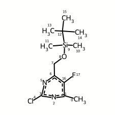 Cc1nc(Cl)nc(CO[Si](C)(C)C(C)(C)C)c1F